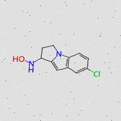 ONC1CCn2c1cc1cc(Cl)ccc12